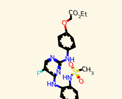 CCOC(=O)COc1ccc(Nc2ncc(F)c(Nc3ccccc3NS(C)(=O)=O)n2)cc1